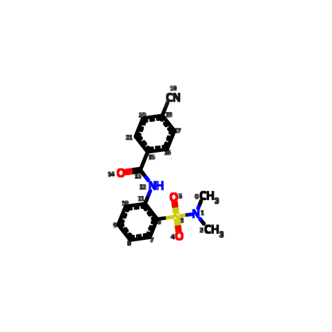 CN(C)S(=O)(=O)c1ccccc1NC(=O)c1ccc(C#N)cc1